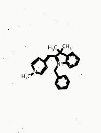 CN1C=CC(=CC2=[N+](Cc3ccccc3)c3ccccc3C2(C)C)C=C1